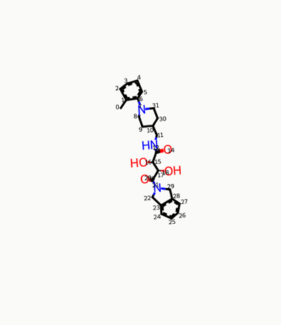 Cc1ccccc1N1CCC(CNC(=O)[C@H](O)[C@@H](O)C(=O)N2Cc3ccccc3C2)CC1